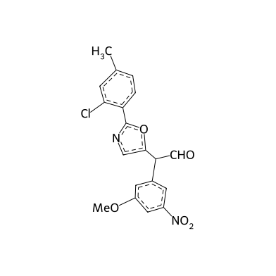 COc1cc(C(C=O)c2cnc(-c3ccc(C)cc3Cl)o2)cc([N+](=O)[O-])c1